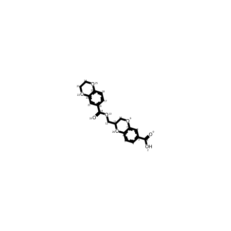 O=C(O)c1ccc2c(c1)OCC(COC(=O)c1ccc3c(c1)OCCO3)O2